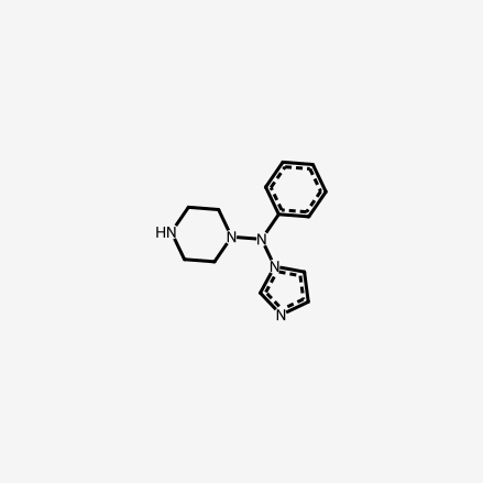 c1ccc(N(N2CCNCC2)n2ccnc2)cc1